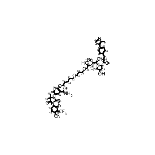 Cc1ncsc1-c1ccc(CNC(=O)[C@@H]2C[C@@H](O)CN2C(=O)[C@@H](NC(O)COCCCOCCCCCOc2ncc(N3C(=S)N(c4ccc(C#N)c(C(F)(F)F)c4F)C(=O)C3(C)C)cc2C(N)=O)C(C)(C)C)cc1